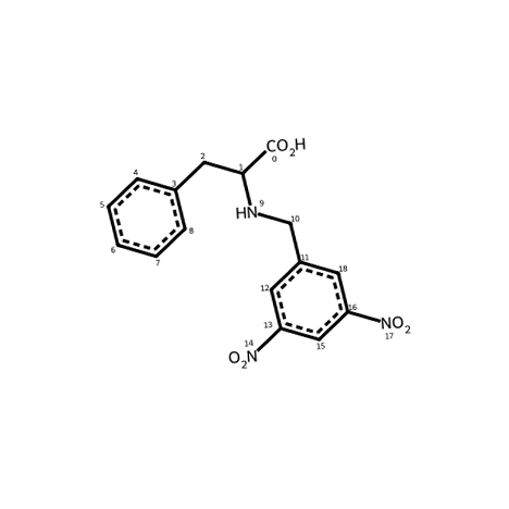 O=C(O)C(Cc1ccccc1)NCc1cc([N+](=O)[O-])cc([N+](=O)[O-])c1